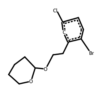 Clc1ccc(Br)c(CCOC2CCCCO2)c1